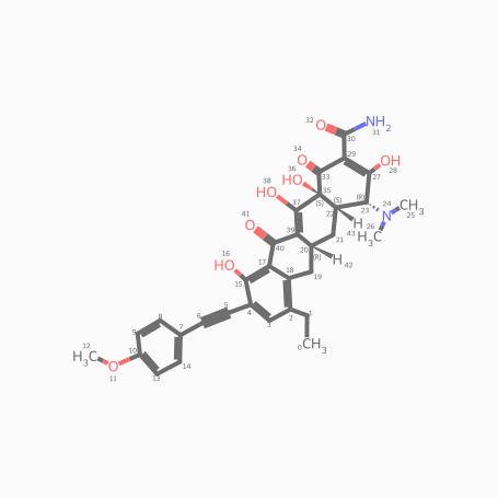 CCc1cc(C#Cc2ccc(OC)cc2)c(O)c2c1C[C@H]1C[C@H]3[C@@H](N(C)C)C(O)=C(C(N)=O)C(=O)[C@@]3(O)C(O)=C1C2=O